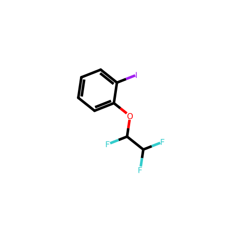 FC(F)C(F)Oc1ccccc1I